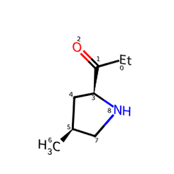 CCC(=O)[C@@H]1C[C@H](C)CN1